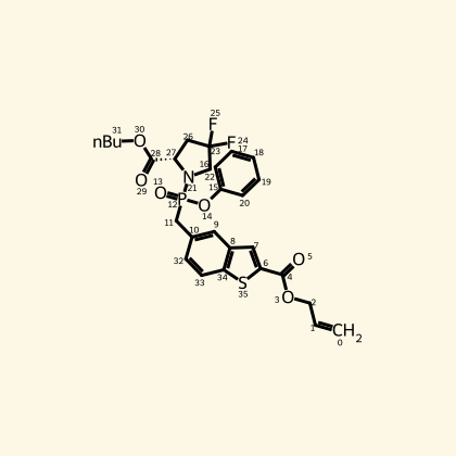 C=CCOC(=O)c1cc2cc(CP(=O)(Oc3ccccc3)N3CC(F)(F)C[C@H]3C(=O)OCCCC)ccc2s1